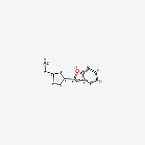 CC(=O)CC1CCC(c2cc3ccccc3o2)C1